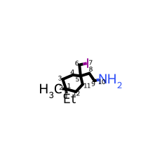 CCC1(C)CCC(CI)(CCN)CC1